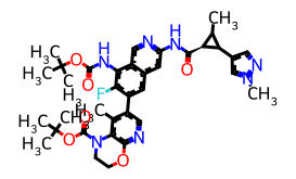 Cc1c(-c2cc3cc(NC(=O)[C@H]4C(C)C4c4cnn(C)c4)ncc3c(NC(=O)OC(C)(C)C)c2F)cnc2c1N(C(=O)OC(C)(C)C)CCO2